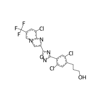 OCCCc1cc(Cl)c(-c2noc(-c3cn4cc(C(F)(F)F)cc(Cl)c4n3)n2)cc1Cl